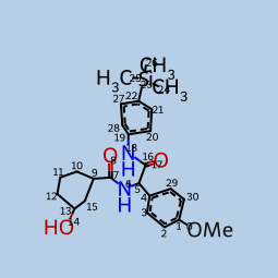 COc1ccc(C(NC(=O)C2CCCC(O)C2)C(=O)Nc2ccc([Si](C)(C)C)cc2)cc1